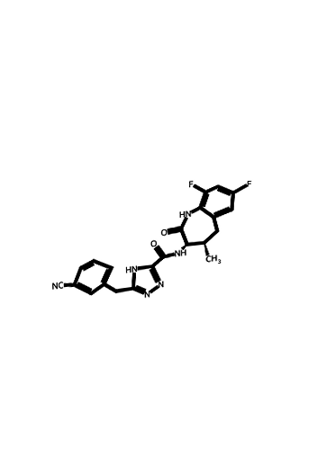 C[C@@H]1Cc2cc(F)cc(F)c2NC(=O)[C@@H]1NC(=O)c1nnc(Cc2cccc(C#N)c2)[nH]1